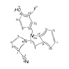 N#Cc1cccn1-c1cc2ccccc2n1-c1ccc(O)c(F)c1